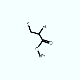 CCCOC(=O)C(CC)C[S]